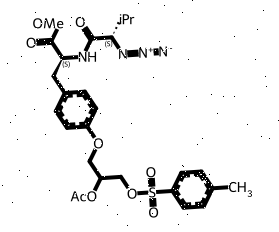 COC(=O)[C@H](Cc1ccc(OCC(COS(=O)(=O)c2ccc(C)cc2)OC(C)=O)cc1)NC(=O)[C@@H](N=[N+]=[N-])C(C)C